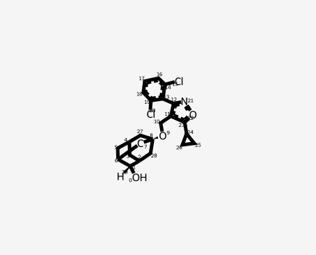 O[C@H]1C2CC3CC1C[C@@](OCc1c(-c4c(Cl)cccc4Cl)noc1C1CC1)(C3)C2